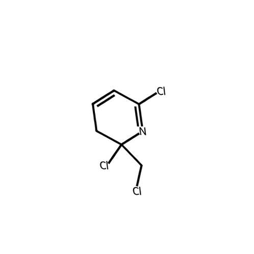 ClCC1(Cl)CC=CC(Cl)=N1